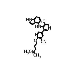 CN(C)CCCOc1ncc(-c2cncc(C#N)c2Nc2cccc3[nH]ccc23)cc1C#N